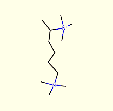 CC(CCCC[N+](C)(C)C)[N+](C)(C)C